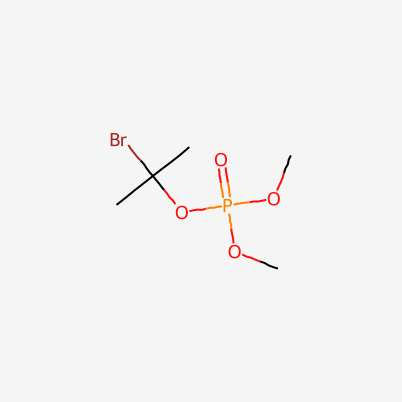 COP(=O)(OC)OC(C)(C)Br